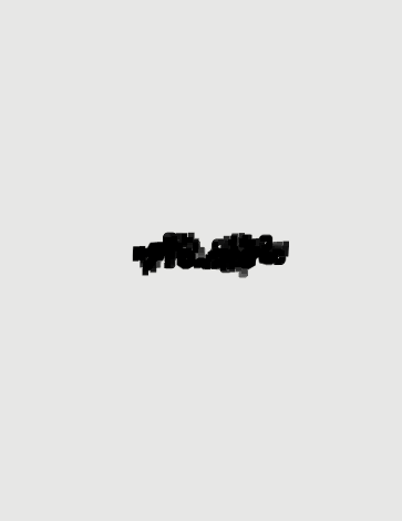 C[C@@H]1CN(CCC[C@H]2CC[C@H](N3C(=S)N(c4ccc(C#N)c(C(F)(F)F)c4)C(=O)C3(C)C)CC2)C[C@H](C)N1CC(=O)Nc1cccc2c(C3CCC(=O)NC3=O)nn(C)c12